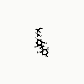 CCC(C)(C)OC(=O)Oc1cc(Br)c(C(C)(C)C2C(Br)CC(C)CC2Br)c(Br)c1